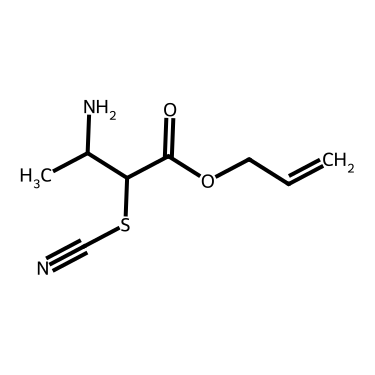 C=CCOC(=O)C(SC#N)C(C)N